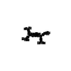 CCCCCCC1(CCCCCC)c2cc(-c3cc(-c4ccc(OCC(CC)CCCC)cc4)cc(-c4ccc(OCC(CC)CCCC)cc4)c3)ccc2-c2ccc(C3CCC(c4cc(-c5ccc(OCC(CC)CCCC)cc5)cc(-c5ccc(OCC(CC)CCCC)cc5)c4)S3)cc21